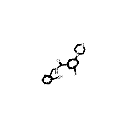 O=C(NCc1ccccc1S)c1cc(F)cc(N2CCOCC2)c1